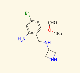 CC(C)(C)OC=O.Nc1cc(Br)ccc1CNC1CNC1